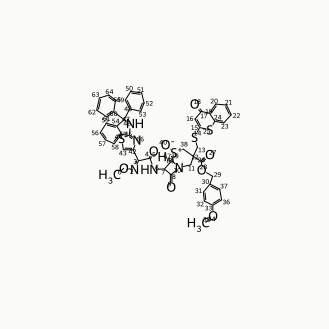 CON=C(C(=O)NC1C(=O)N2CC(CSc3cc(=O)c4ccccc4s3)(C(=O)OCc3ccc(OC)cc3)C[S+]([O-])[C@H]12)c1csc(NC(c2ccccc2)(c2ccccc2)c2ccccc2)n1